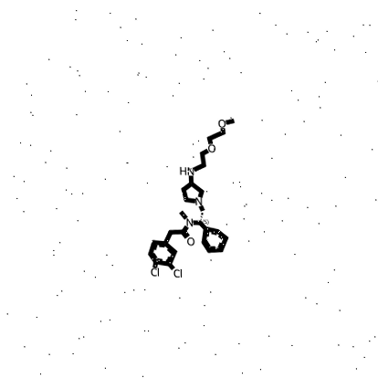 COCCOCCNC1CCN(C[C@H](c2ccccc2)N(C)C(=O)Cc2ccc(Cl)c(Cl)c2)C1